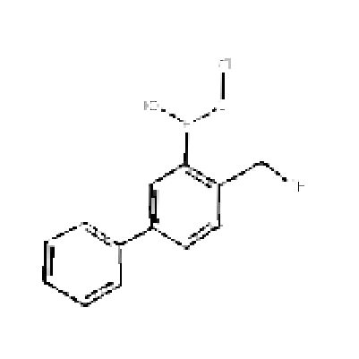 CCc1ccc(-c2ccccc2)cc1B(O)OCl